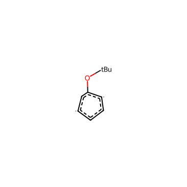 CC(C)(C)Oc1[c]cc[c]c1